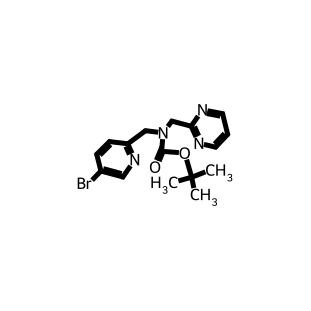 CC(C)(C)OC(=O)N(Cc1ccc(Br)cn1)Cc1ncccn1